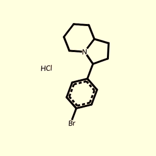 Brc1ccc(C2CCC3CCCCN32)cc1.Cl